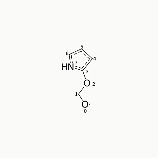 [O]COc1ccc[nH]1